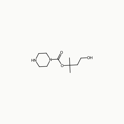 CC(C)(CCO)OC(=O)N1CCNCC1